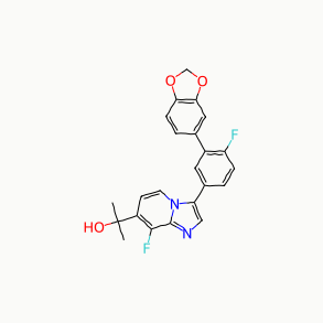 CC(C)(O)c1ccn2c(-c3ccc(F)c(-c4ccc5c(c4)OCO5)c3)cnc2c1F